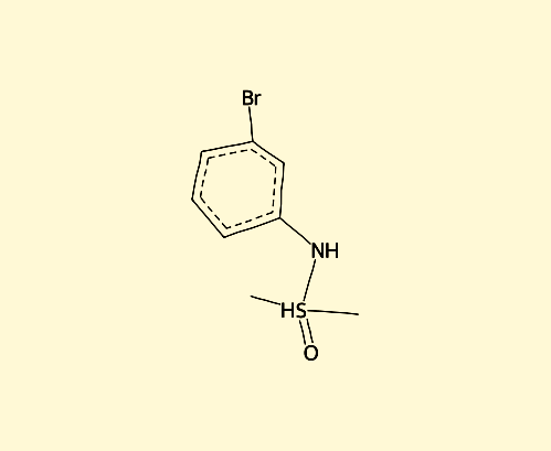 C[SH](C)(=O)Nc1cccc(Br)c1